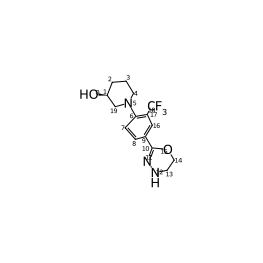 O[C@H]1CCCN(c2ccc(C3=NNCCO3)cc2C(F)(F)F)C1